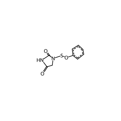 O=C1CN(SOc2ccccc2)C(=O)N1